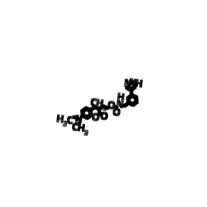 CCN(CC)c1ccc2c(c1)OC(=O)C(CCOC(=O)NCc1cccc(-c3cn[nH]c3)c1)C2C